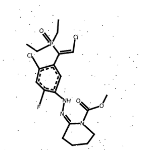 CCP(=O)(CC)C(=CCl)c1cc(NN=C2CCCCN2C(=O)OC)c(F)cc1Cl